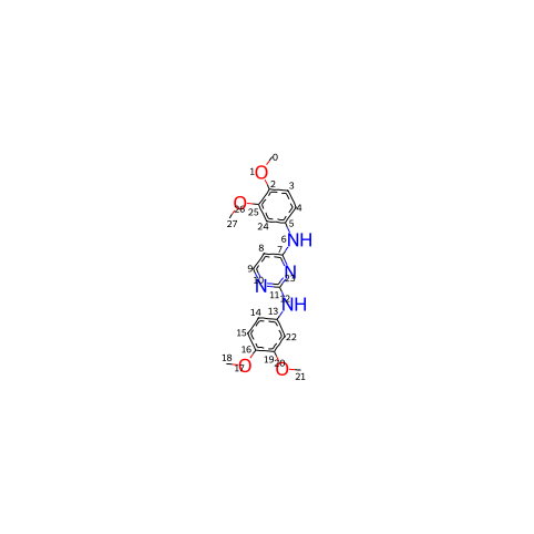 COc1ccc(Nc2ccnc(Nc3ccc(OC)c(OC)c3)n2)cc1OC